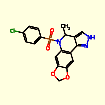 CC1c2c[nH]nc2-c2cc3c(cc2N1S(=O)(=O)c1ccc(Cl)cc1)OCO3